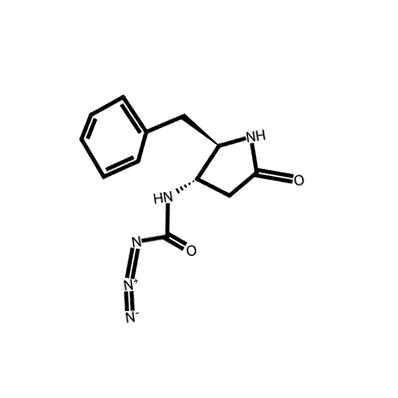 [N-]=[N+]=NC(=O)N[C@H]1CC(=O)N[C@@H]1Cc1ccccc1